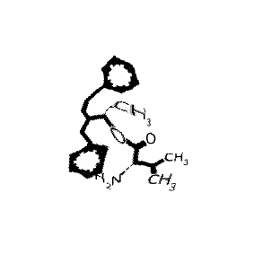 CC(C)[C@H](N)C(=O)O[C@@H](C)C(Cc1ccccc1)Cc1ccccc1